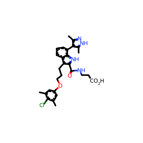 Cc1cc(OCCCc2c(C(=O)NCCC(=O)O)[nH]c3c(-c4c(C)n[nH]c4C)cccc23)cc(C)c1Cl